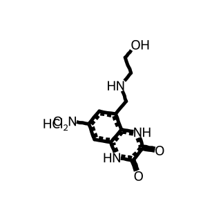 Cl.O=c1[nH]c2cc([N+](=O)[O-])cc(CNCCO)c2[nH]c1=O